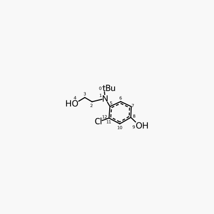 CC(C)(C)N(CCO)c1ccc(O)cc1Cl